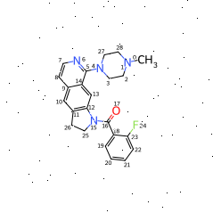 CN1CCN(c2nccc3cc4c(cc23)N(C(=O)c2ccccc2F)CC4)CC1